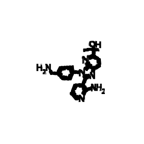 CC(C)(O)c1ccc2nc(-c3cccnc3N)n(-c3ccc(CN)cc3)c2n1